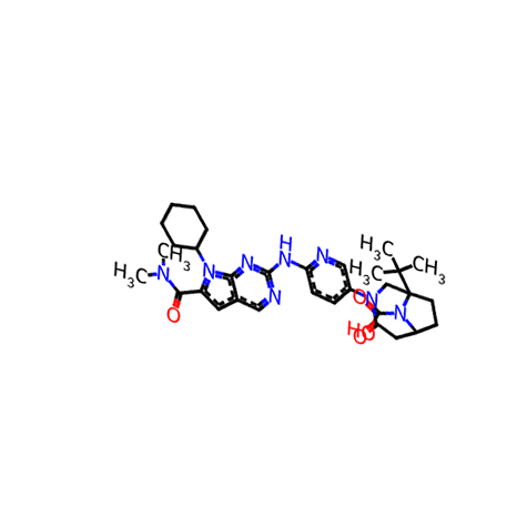 CN(C)C(=O)c1cc2cnc(Nc3ccc(N4CC5(C(C)(C)C)CCC(CC4=O)N5C(=O)O)cn3)nc2n1C1CCCCC1